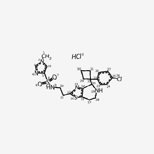 Cl.Cn1cnc(S(=O)(=O)NCCc2nc3c(s2)CCNC3C2(c3ccc(Cl)cc3)CCC2)c1